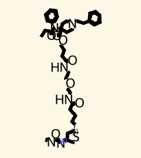 C=NC(=O)/N=C1/CS[C@@H](CCCCC(=O)NCCOCCNC(=O)CCCOC(=O)C2(N(C(=O)CC)c3ccccc3)CCN(CCc3ccccc3)CC2)C1